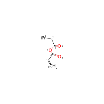 C=CC(=O)OC(=O)CC(C)C